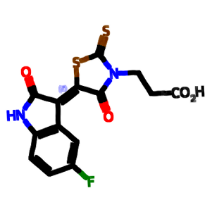 O=C(O)CCN1C(=O)/C(=C2/C(=O)Nc3ccc(F)cc32)SC1=S